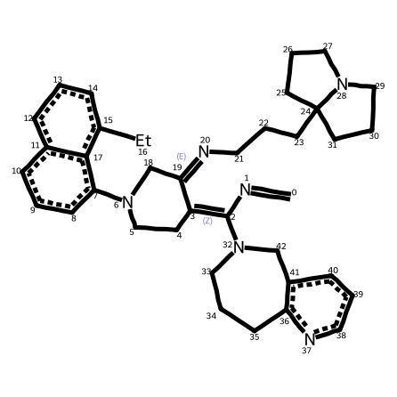 C=N/C(=C1/CCN(c2cccc3cccc(CC)c23)C/C1=N/CCCC12CCCN1CCC2)N1CCCc2ncccc2C1